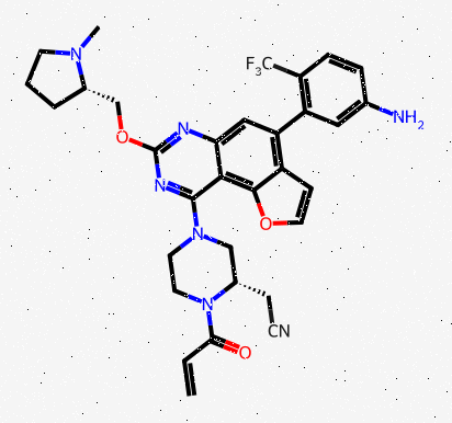 C=CC(=O)N1CCN(c2nc(OC[C@@H]3CCCN3C)nc3cc(-c4cc(N)ccc4C(F)(F)F)c4ccoc4c23)C[C@@H]1CC#N